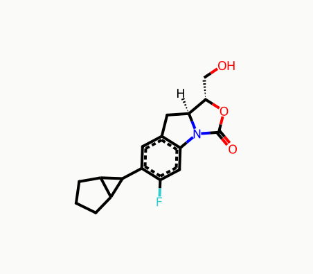 O=C1O[C@@H](CO)[C@@H]2Cc3cc(C4C5CCCC54)c(F)cc3N12